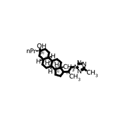 CCC[C@@]1(O)CC[C@H]2[C@H](CC[C@@H]3[C@@H]2CC[C@]2(C)C([C@@H](C)Cn4nnc(C)n4)CC[C@@H]32)C1